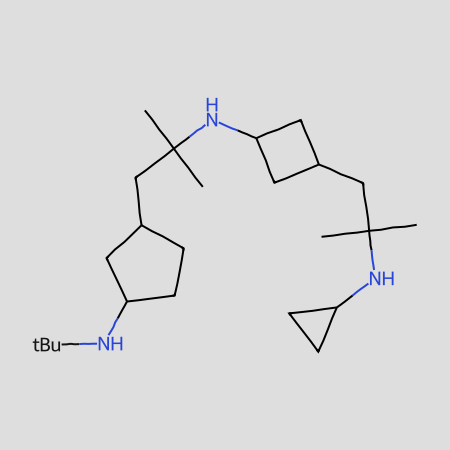 CC(C)(C)NC1CCC(CC(C)(C)NC2CC(CC(C)(C)NC3CC3)C2)C1